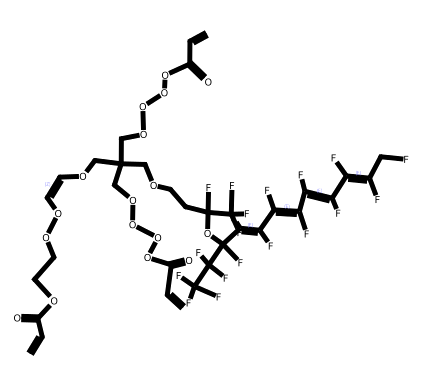 C=CC(=O)OCCOO/C=C\OCC(COCCC(F)(OC(F)(/C(F)=C(F)/C(F)=C(F)/C(F)=C(F)/C(F)=C(\F)CF)C(F)(F)C(F)(F)F)C(F)(F)F)(COOOOC(=O)C=C)COOOOC(=O)C=C